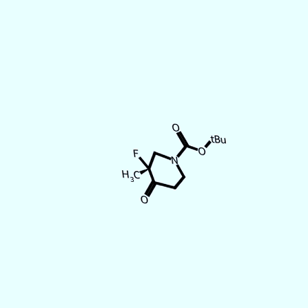 CC(C)(C)OC(=O)N1CCC(=O)[C@](C)(F)C1